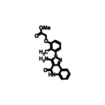 COC(=O)COc1cccc(-n2nc3c(c2N)c(=O)[nH]c2ccccc23)c1C